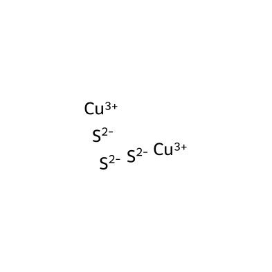 [Cu+3].[Cu+3].[S-2].[S-2].[S-2]